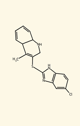 CC1=C(Sc2nc3cc(Cl)ccc3[nH]2)CNC2C=CC=CC12